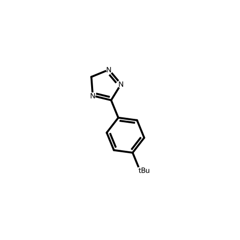 CC(C)(C)c1ccc(C2=NCN=N2)cc1